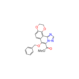 COC(=O)c1c(OCc2ccccc2)c2ccc3c(c2c2ncnn12)OCCO3